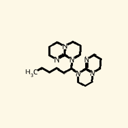 CCCCCC(N1CCCN2CCCN=C21)N1CCCN2CCCN=C21